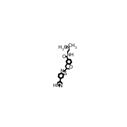 CN(C)CCNC(=O)c1ccc2c(c1)CC(c1nc3ccc(-c4cn[nH]c4)cc3s1)CO2